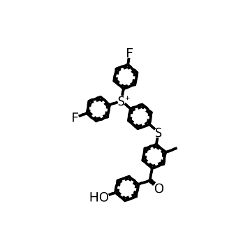 Cc1cc(C(=O)c2ccc(O)cc2)ccc1Sc1ccc([S+](c2ccc(F)cc2)c2ccc(F)cc2)cc1